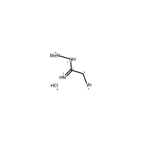 CNNC(=N)CC(C)C.Cl